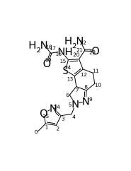 Cc1cc(CN2CC3C(=N2)CCc2c3sc(NC(N)=O)c2C(N)=O)no1